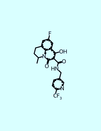 CC1CCc2cc(F)cc3c(O)c(C(=O)NCc4ccc(C(F)(F)F)nc4)c(=O)n1c23